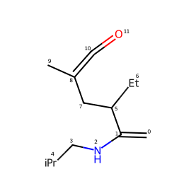 C=C(NCC(C)C)C(CC)CC(C)=C=O